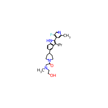 Cc1cc(-c2[nH]c3ccc(C4CCN(C(=O)CN(C)CCO)CC4)cc3c2C(C)C)c(F)cn1